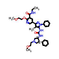 CCNC(=O)c1cc(-c2nn(-c3ccccc3)c(NC(=O)N[C@@H]3CN(CCOC)C[C@H]3c3ccccc3)c2C)cnc1OCCOC